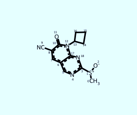 C[S+]([O-])c1ncc2cc(C#N)c(=O)n(C3CCC3)c2n1